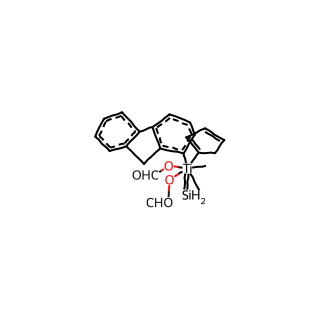 [CH3][Ti]([CH3])(=[SiH2])([O]C=O)([O]C=O)([C]1=CC=CC1)[c]1cccc2c1Cc1ccccc1-2